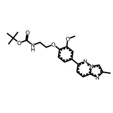 COc1cc(-c2ccc3nc(C)cn3n2)ccc1OCCNC(=O)OC(C)(C)C